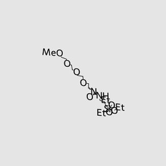 CCO[Si](CCCNC(=O)N=CCOCCOCCOCCOC)(OCC)OCC